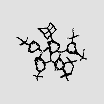 CC(C)(C)c1ccc(N2c3ccc(C(C)(C)C)cc3B3c4sc5c(c4N(c4cc(C(F)(F)F)cc(C(F)(F)F)c4)c4cc(C67CC8CC9CC(C6)C987)cc2c43)C(C)(C)CCC5(C)C)cc1